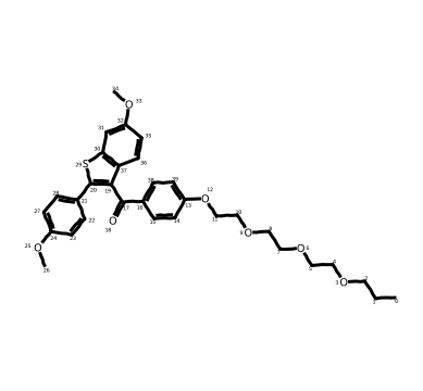 CCCOCCOCCOCCOc1ccc(C(=O)c2c(-c3ccc(OC)cc3)sc3cc(OC)ccc23)cc1